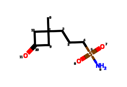 CC1(CCCS(N)(=O)=O)CC(=O)C1